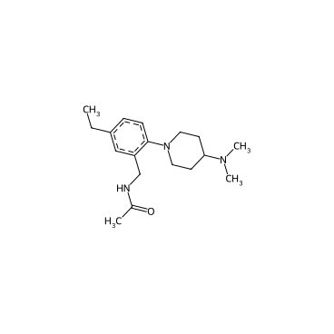 CCc1ccc(N2CCC(N(C)C)CC2)c(CNC(C)=O)c1